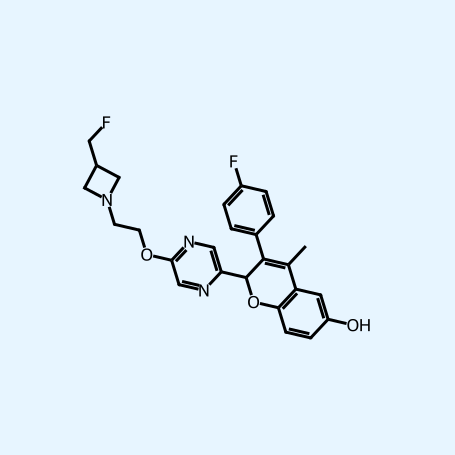 CC1=C(c2ccc(F)cc2)C(c2cnc(OCCN3CC(CF)C3)cn2)Oc2ccc(O)cc21